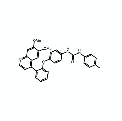 COc1cc2nccc(-c3cccnc3Oc3ccc(NC(=O)Nc4ccc(Cl)cc4)cc3)c2cc1OC